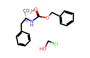 O=C(N[C@H](Cc1ccccc1)C(=O)O)OCc1ccccc1.OCCl